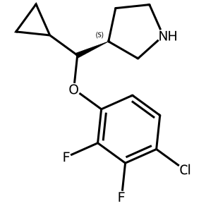 Fc1c(Cl)ccc(OC(C2CC2)[C@H]2CCNC2)c1F